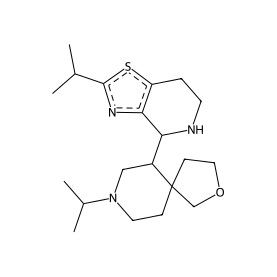 CC(C)c1nc2c(s1)CCNC2C1CN(C(C)C)CCC12CCOC2